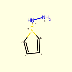 NN[SH]1C=CC=C1